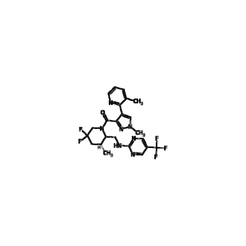 Cc1cccnc1-c1cn(C)nc1C(=O)N1CC(F)(F)C[C@@H](C)C1CNc1ncc(C(F)(F)F)cn1